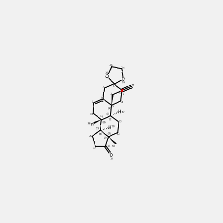 C#CC[C@]12CCC3(CC1=CC[C@@H]1[C@@H]2CC[C@]2(C)C(=O)CC[C@@H]12)OCCO3